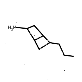 CCCC1CC2C(N)CC12